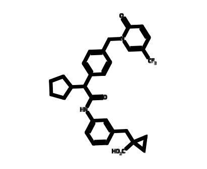 O=C(Nc1cccc(CC2(C(=O)O)CC2)c1)C(c1ccc(Cn2cc(C(F)(F)F)ccc2=O)cc1)C1CCCC1